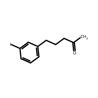 CC(=O)CCCc1cccc(I)c1